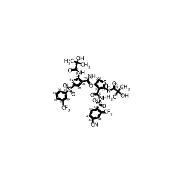 CC(C)(O)C(=O)Nc1sc(S(=O)(=O)c2cccc(C(F)(F)F)c2)cc1C(N)=O.CC(C)(O)C(=O)Nc1sccc1C(=O)NS(=O)(=O)c1ccc(C#N)cc1C(F)(F)F